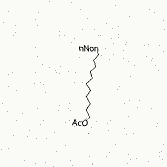 CCCCCCCCCCCCCCCCCCCCOC(C)=O